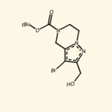 CC(C)(C)OC(=O)N1CCn2nc(CO)c(Br)c2C1